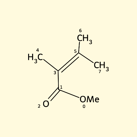 COC(=O)C(C)=C(C)C